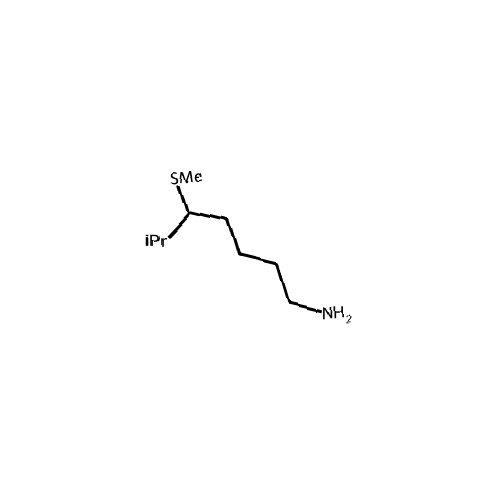 CSC(CCCCN)C(C)C